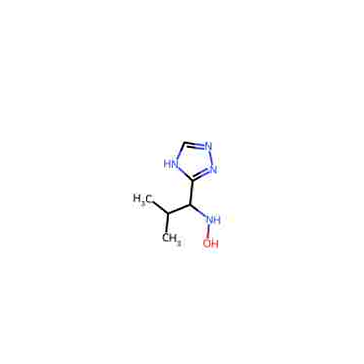 CC(C)C(NO)c1nnc[nH]1